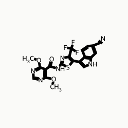 COc1ncnc(OC)c1C(=O)Nc1nc(C(F)(F)F)c(-c2c[nH]c3cc(C#N)ccc23)s1